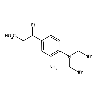 CCC(CC(=O)O)c1ccc(N(CC(C)C)CC(C)C)c(N)c1